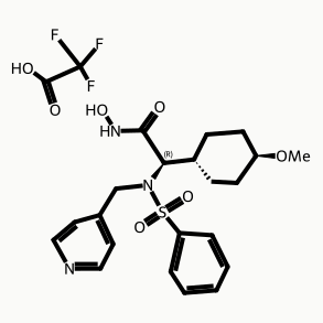 CO[C@H]1CC[C@H]([C@H](C(=O)NO)N(Cc2ccncc2)S(=O)(=O)c2ccccc2)CC1.O=C(O)C(F)(F)F